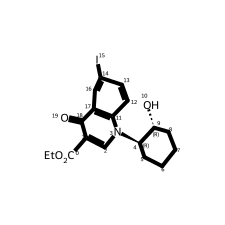 CCOC(=O)c1cn([C@@H]2CCCC[C@H]2O)c2ccc(I)cc2c1=O